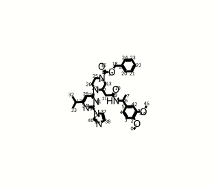 COc1ccc(C(C)NC(=O)CC2CN(C(=O)OCc3ccccc3)CCN2c2cc(C(C)C)nc(-n3ccnc3)n2)cc1OC